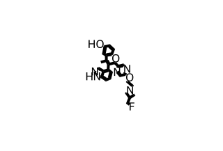 CC1=C(c2cccc3[nH]ncc23)C(c2cnc(OCCN3CC(CF)C3)cn2)Oc2ccc(O)cc21